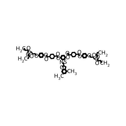 C=CC(=O)OCC(COc1ccc(OC(=O)C2CCC(C(=O)Oc3ccc(OC(=O)C4CCC(C(=O)Oc5ccc(OCC(COC(=O)C=C)OC(=O)C=C)cc5)CC4)c4sc(C5Cc6c(C)cc(C)cc6O5)nc34)CC2)cc1)OC(=O)C=C